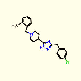 Cc1ccccc1CN1CCC(c2nc(Cc3ccc(Cl)cc3)n[nH]2)CC1